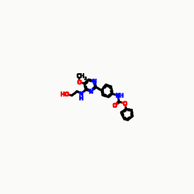 COc1cnc(-c2ccc(NC(=O)Oc3ccccc3)cc2)nc1NCCO